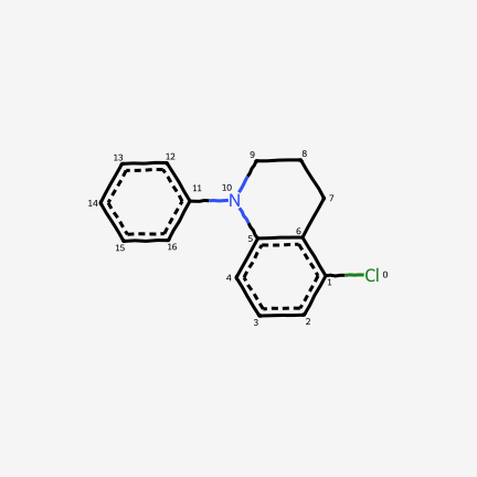 Clc1cccc2c1CCCN2c1ccccc1